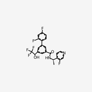 C[C@@H](NC(=O)c1cc(-c2ccc(F)cc2F)cc(C(O)C(F)(F)F)c1)c1ccncc1F